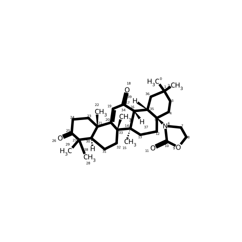 CC1(C)CC[C@]2(N3CCOC3=O)CC[C@]3(C)[C@H](C(=O)C=C4[C@@]5(C)CCC(=O)C(C)(C)[C@@H]5CC[C@]43C)[C@@H]2C1